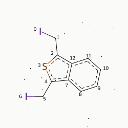 ICc1sc(CI)c2ccccc12